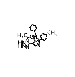 Cc1ccc(-n2ncc(C3=NNNN3C(C)C)c2SCc2ccccc2)cc1